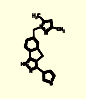 Cc1cc(C)n(Cc2ccc3c(c2)Cc2c(-c4ccsc4)n[nH]c2-3)n1